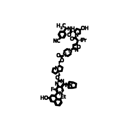 CCc1cccc2cc(O)cc(-c3ncc4c(N5CC6CCC(C5)N6)nc(OC[C@]56CCCN5[C@H](COC(=O)N5CCN(c7cc([C@H](C(=O)N8C[C@H](O)C[C@H]8C(=O)N[C@@H](C)c8ccc(C#N)cc8)C(C)C)on7)CC5)CC6)nc4c3F)c12